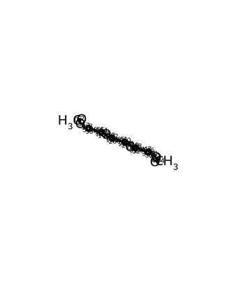 CC(=O)OCCc1ccc(C#Cc2ccc(OCc3ccc(C#Cc4ccc(COc5ccc(C#Cc6ccc(CCOC(C)=O)cc6)cc5)cc4)cc3)cc2)cc1